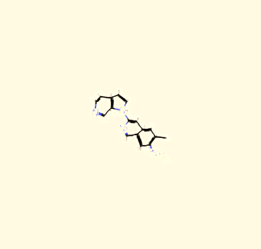 Cc1cc2cc(-n3ccc4ccncc43)ncc2cc1N